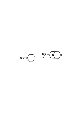 CC(C)(C)C1CC2COCC(C1)N2C(C)(C)CCC(C)(C)C1CC2CCC1CN2C(C)(C)C